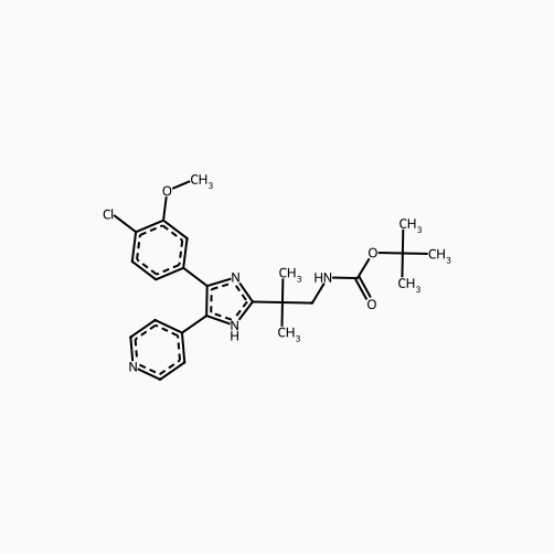 COc1cc(-c2nc(C(C)(C)CNC(=O)OC(C)(C)C)[nH]c2-c2ccncc2)ccc1Cl